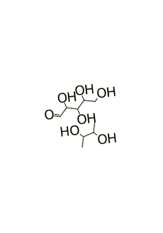 CC(O)C(C)O.O=CC(O)C(O)C(O)CO